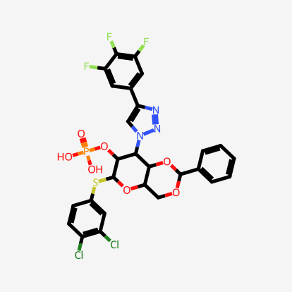 O=P(O)(O)OC1C(Sc2ccc(Cl)c(Cl)c2)OC2COC(c3ccccc3)OC2C1n1cc(-c2cc(F)c(F)c(F)c2)nn1